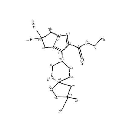 CCOC(=O)c1nn2c(c1[C@H]1CC[C@]3(CC1)CC(C)(C)CO3)CC(F)(F)C2